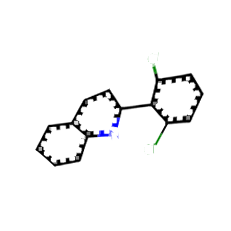 Clc1cccc(Cl)c1-c1ccc2ccccc2n1